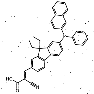 CCC1(CC)c2cc(/C=C(\C#N)C(=O)O)ccc2-c2ccc(P(c3ccccc3)c3ccc4ccccc4c3)cc21